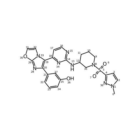 Cn1ccc(S(=O)(=O)N2CCCC(Nc3nccc(-c4c(-c5cccc(O)c5)nc5occn45)n3)C2)n1